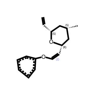 C=C[C@@H]1C[C@H](C)C[C@H](/C=C\Oc2ccccc2)O1